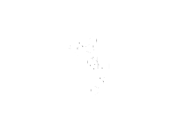 COc1ccc2cc(-c3ccnc(NC4CCN(Cc5ccccc5)CC4)n3)cc(NC(=O)OC(C)(C)C)c2c1